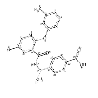 Cc1cccc(Oc2ncc(Cl)cc2C(=O)N[C@@H](C)c2ccc(C(=O)O)cc2)c1